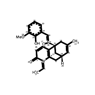 CC=[N+]1C(=O)C=CC2=C1C[C@H]1C=C(C)C[C@]2([N+](Cl)=Cc2cccc(OC)c2O)C1